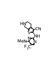 CNc1nc(Nc2sc3c(c2C#N)CCNC3)ncc1C(F)(F)F